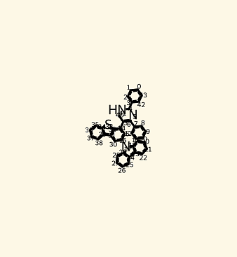 c1ccc(C2=NC(c3ccccc3)=C(c3cc(-n4c5ccccc5c5ccccc54)cc4c3sc3ccccc34)CN2)cc1